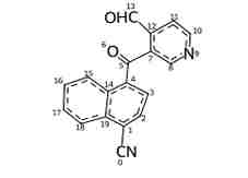 N#Cc1ccc(C(=O)c2cnccc2C=O)c2ccccc12